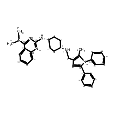 Cc1c(CN[C@H]2CC[C@@H](Nc3nc(N(C)C)c4ccccc4n3)CC2)cc(-c2ccccc2)n1-c1ccccc1